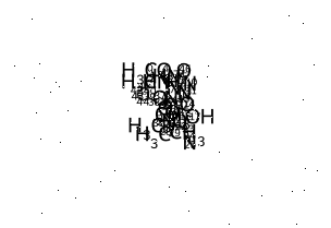 CC(C)C(=O)Nc1nc2c(ncn2[C@@H]2O[C@H](CO)[C@@H](OP(OCCC#N)N(C(C)C)C(C)C)[C@H]2NC(=O)OCc2ccccc2)c(=O)[nH]1